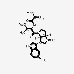 CN[C@@H](C)C(=O)N[C@H](C(=O)N1CC[C@@H]2[C@H]1[C@@H](c1c[nH]c3ccc(C)cc13)CN2C(C)=O)[C@@H](C)OC